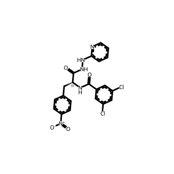 O=C(N[C@@H](Cc1ccc([N+](=O)[O-])cc1)C(=O)NNc1ccccn1)c1cc(Cl)cc(Cl)c1